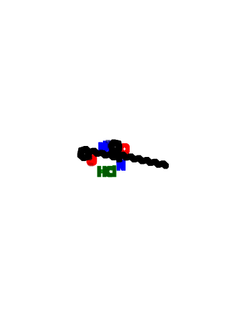 CCCCCCCCCCCCC(C#N)(CCCC(CCc1ccccc1OC)/N=N/C)c1ccccc1OC.Cl